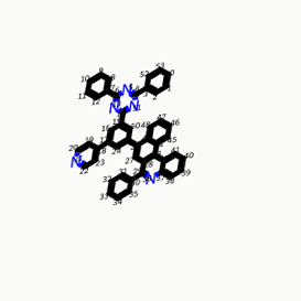 c1ccc(-c2nc(-c3ccccc3)nc(-c3cc(-c4ccncc4)cc(-c4cc5c(-c6ccccc6)nc6ccccc6c5c5ccccc45)c3)n2)cc1